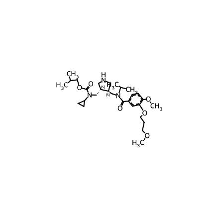 COCCCOc1cc(C(=O)N(C[C@@H]2CNC[C@H]2CN(C(=O)OCC(C)C)C2CC2)C(C)C)ccc1OC